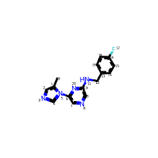 Cc1cncn1-c1cncc(NCc2ccc(F)cc2)n1